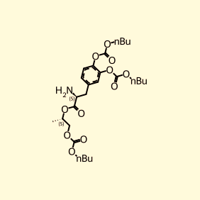 CCCCOC(=O)OC[C@H](C)OC(=O)[C@@H](N)Cc1ccc(OC(=O)OCCCC)c(OC(=O)OCCCC)c1